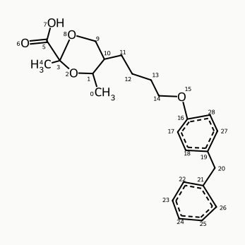 CC1OC(C)(C(=O)O)OCC1CCCCOc1ccc(Cc2ccccc2)cc1